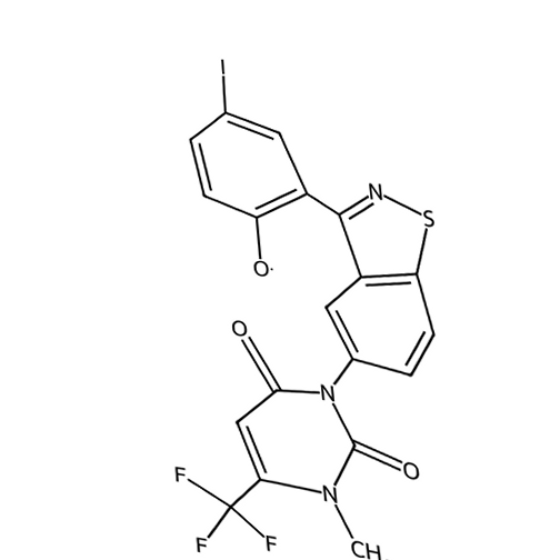 Cn1c(C(F)(F)F)cc(=O)n(-c2ccc3snc(-c4cc(I)ccc4[O])c3c2)c1=O